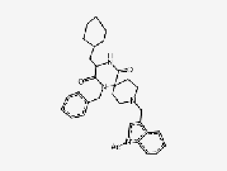 CC(=O)n1cc(CN2CCC3(CC2)C(=O)NC(CC2CCCCC2)C(=O)N3Cc2ccccc2)c2ccccc21